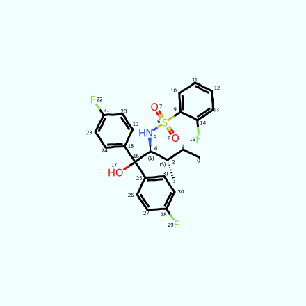 CC[C@H](C)[C@H](NS(=O)(=O)c1ccccc1F)C(O)(c1ccc(F)cc1)c1ccc(F)cc1